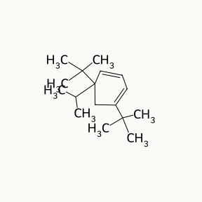 CC(C)C1(C(C)(C)C)C=CC=C(C(C)(C)C)C1